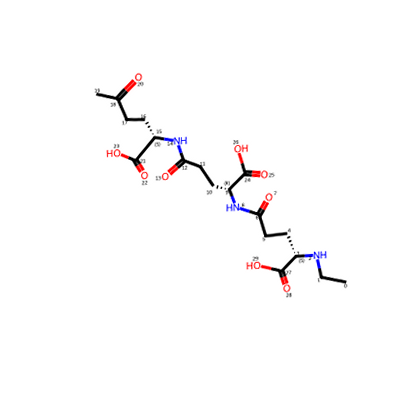 CCN[C@@H](CCC(=O)N[C@H](CCC(=O)N[C@@H](CCC(C)=O)C(=O)O)C(=O)O)C(=O)O